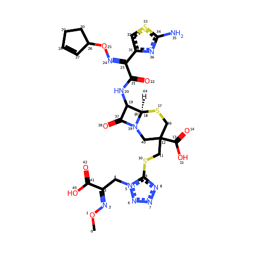 CON=C(Cn1nnnc1SCC1(C(=O)O)CS[C@@H]2C(NC(=O)C(=NOC3C=CCC3)c3csc(N)n3)C(=O)N2C1)C(=O)O